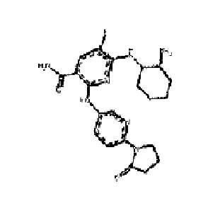 NC(=O)c1cc(F)c(NC2CCCCC2N)nc1Nc1ccc(N2CCCC2=O)nc1